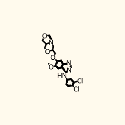 COc1cc2c(Nc3ccc(Cl)c(Cl)c3)ncnc2cc1OCC1CN2C=COCC2CO1